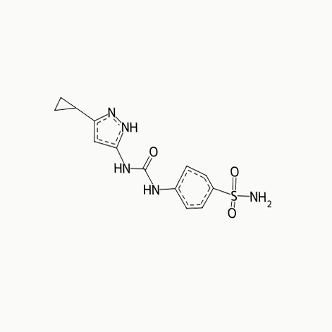 NS(=O)(=O)c1ccc(NC(=O)Nc2cc(C3CC3)n[nH]2)cc1